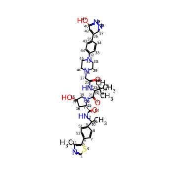 Cc1ncsc1-c1ccc([C@H](C)NC(=O)[C@@H]2C[C@@H](O)CN2C(=O)[C@@H](NC(=O)CN2CCN(c3ccc(-c4cnnc(O)c4)cc3)CC2)C(C)(C)C)cc1